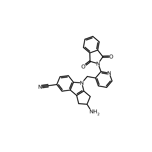 N#Cc1ccc2c(c1)c1c(n2Cc2cccnc2N2C(=O)c3ccccc3C2=O)CC(N)C1